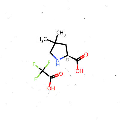 CC1(C)CN[C@H](C(=O)O)C1.O=C(O)C(F)(F)F